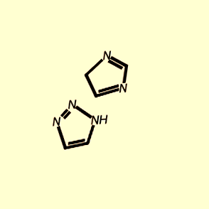 C1=NC=NC1.c1c[nH]nn1